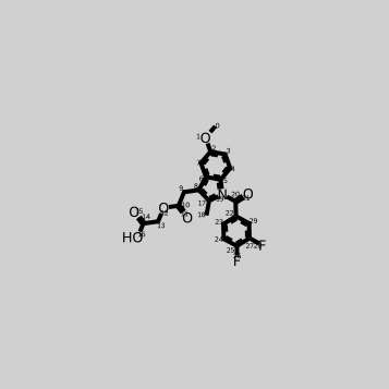 COc1ccc2c(c1)c(CC(=O)OCC(=O)O)c(C)n2C(=O)c1ccc(F)c(F)c1